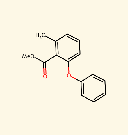 COC(=O)c1c(C)cccc1Oc1ccccc1